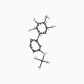 [2H]C([2H])([2H])Oc1cccc(-c2cc(F)c(N)c(F)c2F)c1